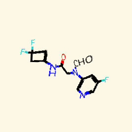 O=CN(CC(=O)NC1CC(F)(F)C1)c1cncc(F)c1